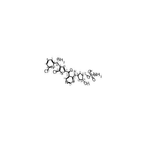 N[C@@H](c1cccc(Cl)n1)c1cc(C(=O)c2cncnc2N[C@@H]2C[C@H](COS(N)(=O)=O)[C@@H](O)C2)sc1Cl